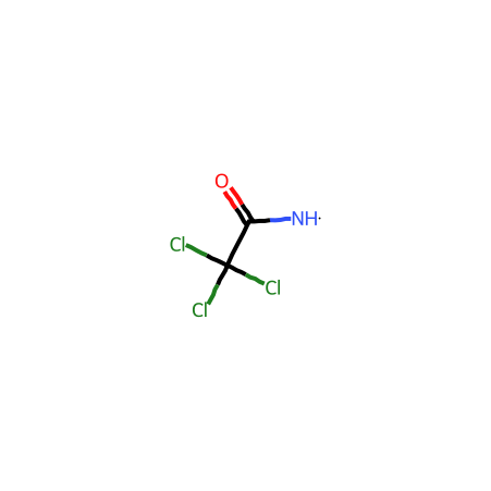 [NH]C(=O)C(Cl)(Cl)Cl